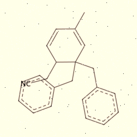 CC1=CC(Cc2ccccc2)(Cc2ccccc2)C(CC#N)C=C1